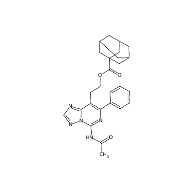 CC(=O)Nc1nc(-c2ccccc2)c(CCOC(=O)C23CC4CC(CC(C4)C2)C3)c2ncnn12